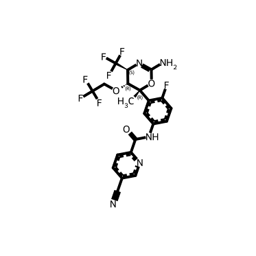 C[C@]1(c2cc(NC(=O)c3ccc(C#N)cn3)ccc2F)OC(N)=N[C@H](C(F)(F)F)[C@H]1OCC(F)(F)F